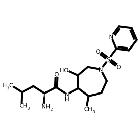 CC(C)C[C@H](N)C(=O)NC1C(C)CCN(S(=O)(=O)c2ccccn2)CC1O